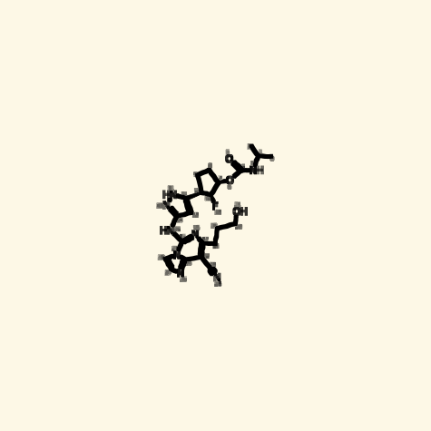 CC(C)NC(=O)O[C@@H]1CC[C@H](c2cc(Nc3nc(CCCO)c(C#N)c4nccn34)n[nH]2)[C@@H]1F